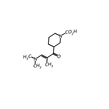 CC(=CN(C)C)C(=O)C1CCCN(C(=O)O)C1